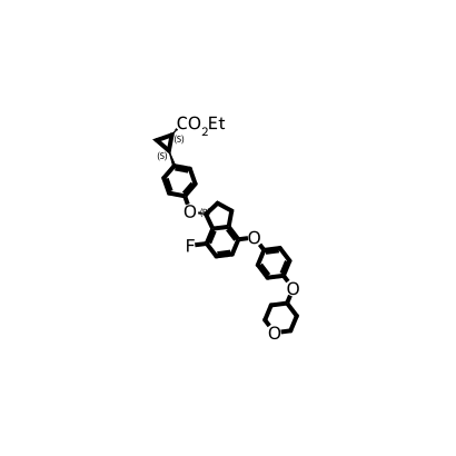 CCOC(=O)[C@H]1C[C@@H]1c1ccc(O[C@@H]2CCc3c(Oc4ccc(OC5CCOCC5)cc4)ccc(F)c32)cc1